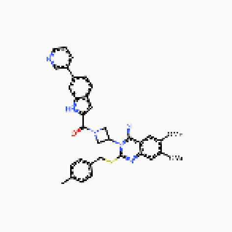 COc1cc2nc(SCc3ccc(C)cc3)n(C3CN(C(=O)c4cc5ccc(-c6cccnc6)cc5[nH]4)C3)c(=N)c2cc1OC